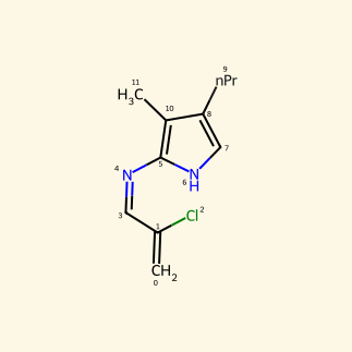 C=C(Cl)/C=N\c1[nH]cc(CCC)c1C